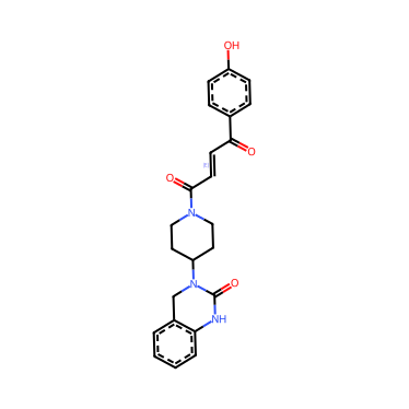 O=C(/C=C/C(=O)N1CCC(N2Cc3ccccc3NC2=O)CC1)c1ccc(O)cc1